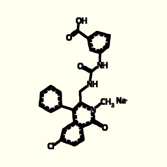 Cn1c(CNC(=O)Nc2cccc(C(=O)O)c2)c(-c2ccccc2)c2cc(Cl)ccc2c1=O.[Na]